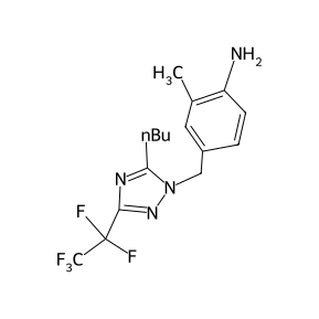 CCCCc1nc(C(F)(F)C(F)(F)F)nn1Cc1ccc(N)c(C)c1